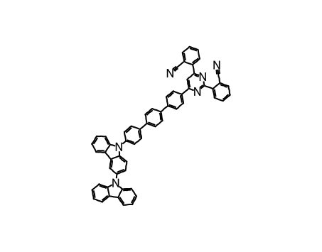 N#Cc1ccccc1-c1cc(-c2ccc(-c3ccc(-c4ccc(-n5c6ccccc6c6cc(-n7c8ccccc8c8ccccc87)ccc65)cc4)cc3)cc2)nc(-c2ccccc2C#N)n1